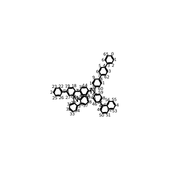 c1ccc(-c2ccc(-c3ccc(N(c4ccc(-c5ccc(-c6ccccc6)cc5-n5c6ccccc6c6ccccc65)cc4)c4ccc(-c5cccc6ccccc56)cc4)cc3)cc2)cc1